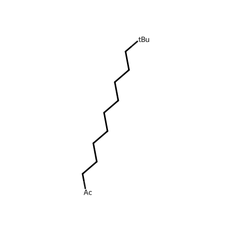 CC(=O)CCCCCCCCCC(C)(C)C